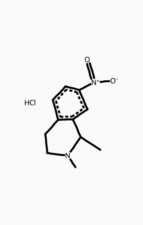 CC1c2cc([N+](=O)[O-])ccc2CCN1C.Cl